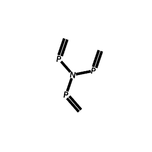 C=PN(P=C)P=C